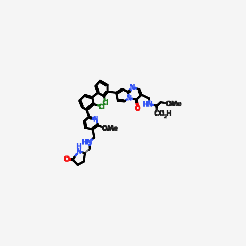 COCC(NCc1cnc2cc(-c3cccc(-c4cccc(-c5ccc(CNC[C@@H]6CCC(=O)N6)c(OC)n5)c4Cl)c3Cl)ccn2c1=O)C(=O)O